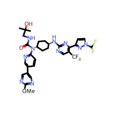 COc1ncc(-c2ccc(N(C(=O)NCC(C)(C)O)[C@H]3CC[C@H](Nc4ncc(C(F)(F)F)c(-c5ccn(C(F)F)n5)n4)CC3)nc2)cn1